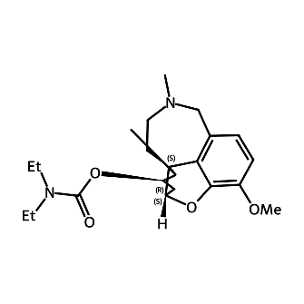 CCN(CC)C(=O)O[C@@H]1C[C@@H]2Oc3c(OC)ccc4c3[C@]2(CCN(C)C4)C1C